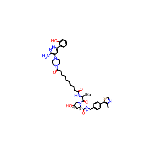 Cc1ncsc1-c1ccc(CNC(=O)[C@@H]2C[C@@H](O)CN2C(=O)C(NC(=O)CCCCCCCCC(=O)N2CCN(c3cc(-c4ccccc4O)nnc3N)CC2)C(C)(C)C)cc1